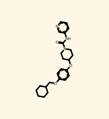 O=C(Nc1cccnc1)N1CCC(Oc2ccc(OCC3CCCCC3)cc2)CC1